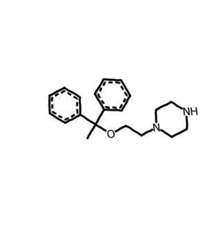 CC(OCCN1CCNCC1)(c1ccccc1)c1ccccc1